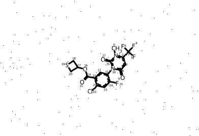 Cn1c(C(F)(F)F)cc(=O)n(-c2cc(C(=O)OC3CSC3)c(Cl)cc2F)c1=O